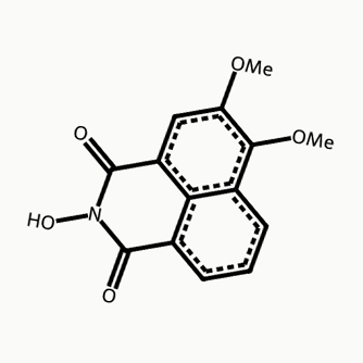 COc1cc2c3c(cccc3c1OC)C(=O)N(O)C2=O